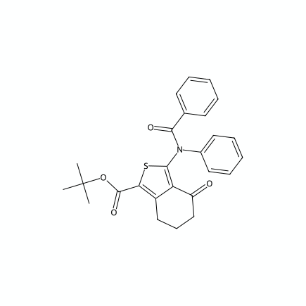 CC(C)(C)OC(=O)c1sc(N(C(=O)c2ccccc2)c2ccccc2)c2c1CCCC2=O